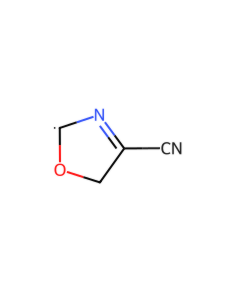 N#CC1=N[CH]OC1